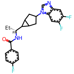 CC[C@@H](NC(=O)c1ccc(F)cc1)C1C2CC(n3cnc4cc(F)c(F)cc43)CC21